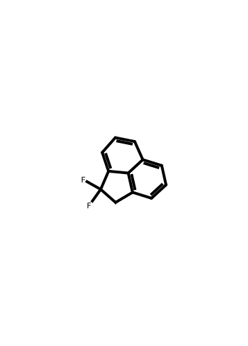 FC1(F)[CH]c2cccc3cccc1c23